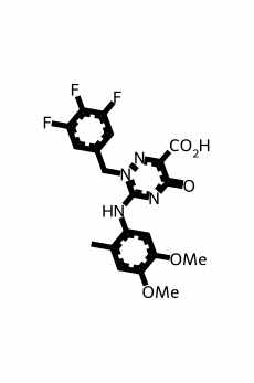 COc1cc(C)c(Nc2nc(=O)c(C(=O)O)nn2Cc2cc(F)c(F)c(F)c2)cc1OC